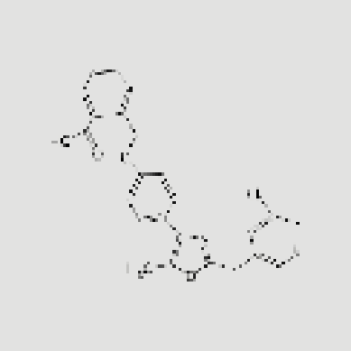 Cc1oc(Cc2cccc(Cl)c2)nc1-c1ccc(OCc2ccccc2C(=O)O)cc1